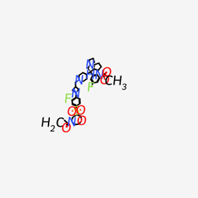 C=CC(=O)N1CCOC[C@@H](S(=O)(=O)c2ccc(N3CC(CN4CCC([C@@](CN5CCC5)(c5cccc(F)c5)[C@H]5CCC[C@@H]5NC(=O)OC)CC4)C3)c(F)c2)C1